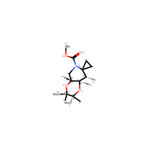 CO[C@@]1(C)O[C@@H]2[C@@H](C(C)=O)C3(CC3)N(C(=O)OC(C)(C)C)C[C@H]2O[C@]1(C)OC